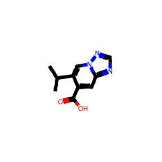 CC(C)c1cn2ncnc2cc1C(=O)O